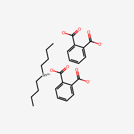 CCC[CH2][Sn+4][CH2]CCC.O=C([O-])c1ccccc1C(=O)[O-].O=C([O-])c1ccccc1C(=O)[O-]